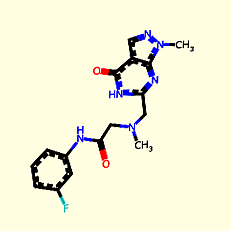 CN(CC(=O)Nc1cccc(F)c1)Cc1nc2c(cnn2C)c(=O)[nH]1